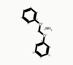 N.c1ccc(OCOc2ccccc2)cc1